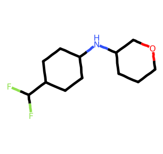 FC(F)C1CCC(NC2CCCOC2)CC1